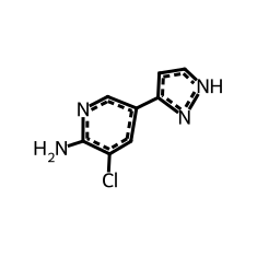 Nc1ncc(-c2cc[nH]n2)cc1Cl